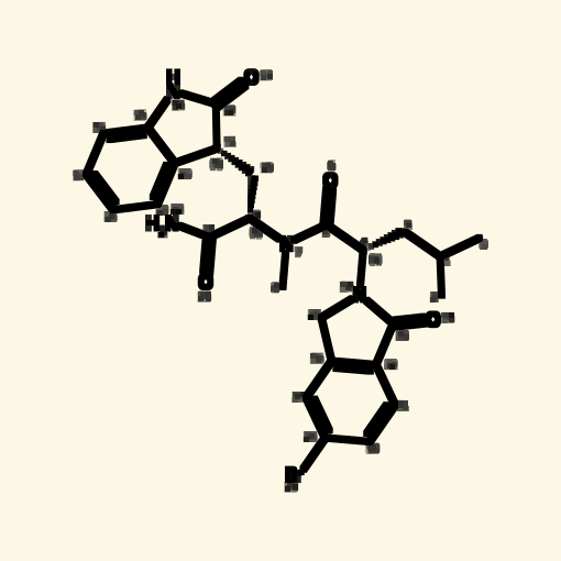 CC(C)C[C@@H](C(=O)N(C)[C@@H](C[C@H]1C(=O)Nc2ccccc21)C(N)=O)N1Cc2cc(Br)ccc2C1=O